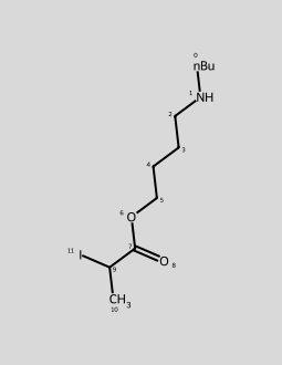 CCCCNCCCCOC(=O)C(C)I